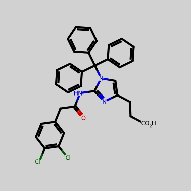 O=C(O)CCc1cn(C(c2ccccc2)(c2ccccc2)c2ccccc2)c(NC(=O)Cc2ccc(Cl)c(Cl)c2)n1